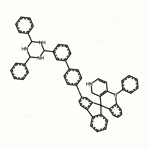 C1=CC2=C(CN1)C1(c3ccccc3-c3ccc(-c4ccc(-c5cccc(C6NC(c7ccccc7)NC(c7ccccc7)N6)c5)cc4)cc31)c1ccccc1N2c1ccccc1